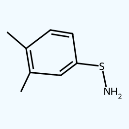 Cc1ccc(SN)cc1C